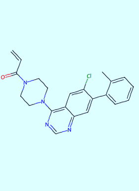 C=CC(=O)N1CCN(c2ncnc3cc(-c4ccccc4C)c(Cl)cc23)CC1